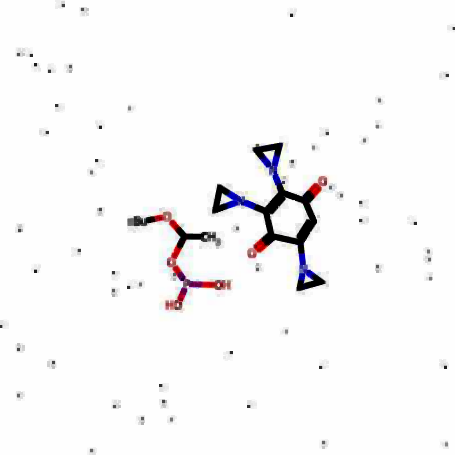 CCCCOC(C)OP(O)O.O=C1C=C(N2CC2)C(=O)C(N2CC2)=C1N1CC1